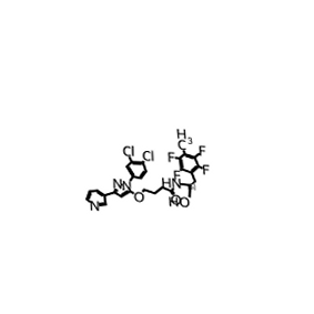 Cc1c(F)c(F)c(C[C@@H](CO)NC(=O)CCCOc2cc(-c3cccnc3)nn2-c2ccc(Cl)c(Cl)c2)c(F)c1F